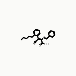 CCCCCc1ccccc1C(C#N)=C(N=Cc1ccccc1)C(=O)O